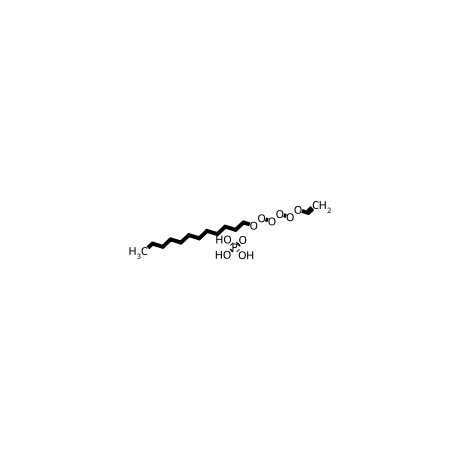 C=COOOOOOCCCCCCCCCCCC.O=P(O)(O)O